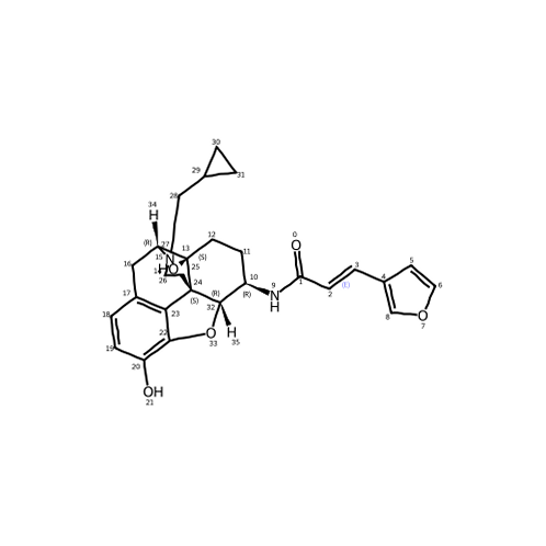 O=C(/C=C/c1ccoc1)N[C@@H]1CC[C@@]2(O)[C@H]3Cc4ccc(O)c5c4[C@@]2(CCN3CC2CC2)[C@H]1O5